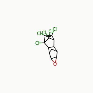 ClC1=C(Cl)C2(Cl)C3C4CC(C5OC45)C3C1C2(Cl)Cl